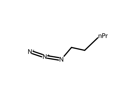 [CH2]CCCCN=[N+]=[N-]